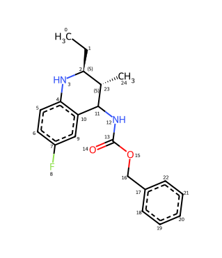 CC[C@@H]1Nc2ccc(F)cc2C(NC(=O)OCc2ccccc2)[C@H]1C